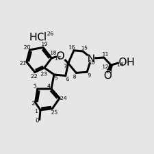 Cc1ccc(C2CC3(CCN(CC(=O)O)CC3)Oc3ccccc32)cc1.Cl